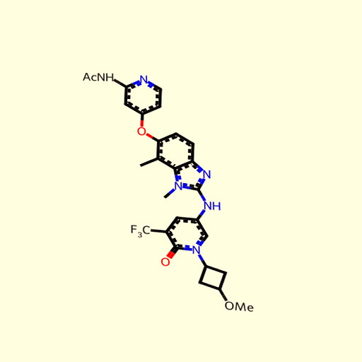 COC1CC(n2cc(Nc3nc4ccc(Oc5ccnc(NC(C)=O)c5)c(C)c4n3C)cc(C(F)(F)F)c2=O)C1